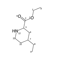 CCOC(=O)C1CC(CC)CCN1